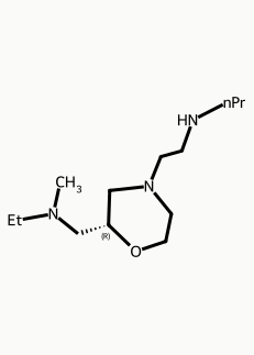 CCCNCCN1CCO[C@H](CN(C)CC)C1